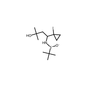 CC(C)(O)CC(N[S+]([O-])C(C)(C)C)C1(I)CC1